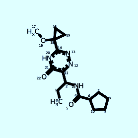 CCC(NC(=O)C1CCCC1)c1nnc(C2(OC)CC2)[nH]c1=O